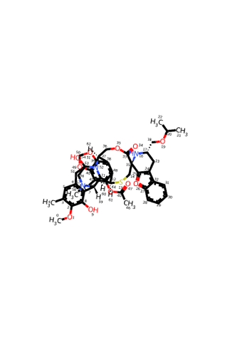 COc1c(C)cc2c(c1O)[C@H]1[C@@H]3[C@@H]4SC[C@]5(N[C@H](COC(C)C)Cc6c5oc5ccccc65)C(=O)OC[C@@H](c5c6c(c(C)c(OC(C)=O)c54)OCO6)N3C(O)(C2)CN1C